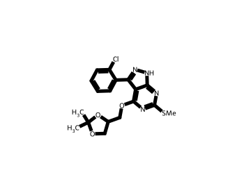 CSc1nc(OCC2COC(C)(C)O2)c2c(-c3ccccc3Cl)n[nH]c2n1